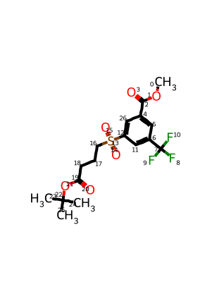 COC(=O)c1cc(C(F)(F)F)cc(S(=O)(=O)CCCC(=O)OC(C)(C)C)c1